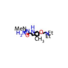 CCN(CC)CCOc1cc(C)c2cc(C(=O)N=C(N)NC)[nH]c2c1